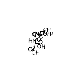 CC(O)CC(=O)N1CCC[C@H]1C(=O)N[C@@H](CCC(=O)O)C(=O)O